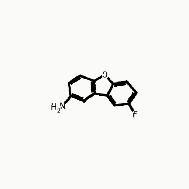 Nc1ccc2oc3ccc(F)cc3c2c1